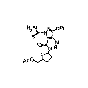 CCCc1nn(C(N)=S)c2c(=O)n(C3CCC(COC(C)=O)O3)nnc12